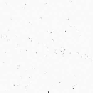 [CH2]CCCCCCCCCCC1CCN(CCSSCCN2CCC(CCO)CC2)CC1